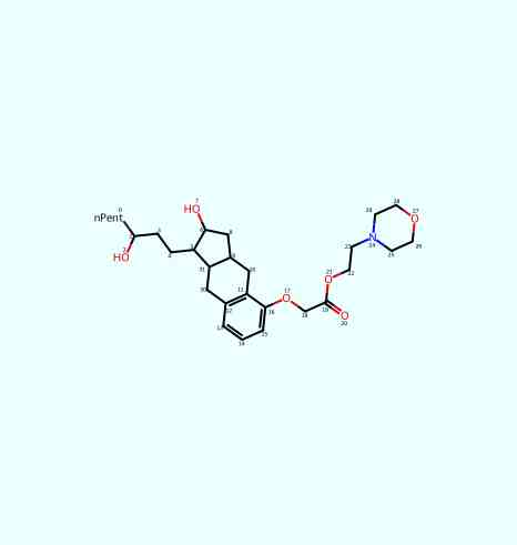 CCCCCC(O)CCC1C(O)CC2Cc3c(cccc3OCC(=O)OCCN3CCOCC3)CC21